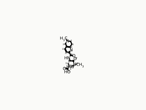 CN1CCc2nc(C(=O)N[C@@H](CNC(=O)O)C(=O)N(C)C)ccc2C1